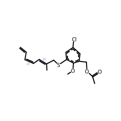 C=C/C=C\C=C(/C)CSc1cc(Cl)cc(COC(C)=O)c1OC